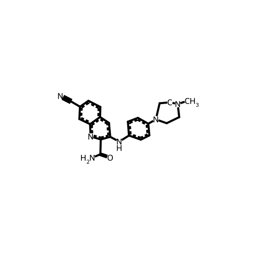 CN1CCN(c2ccc(Nc3cc4ccc(C#N)cc4nc3C(N)=O)cc2)CC1